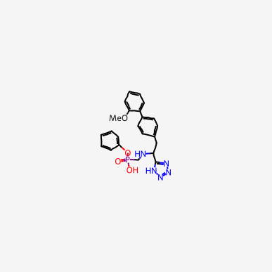 COc1ccccc1-c1ccc(CC(NCP(=O)(O)Oc2ccccc2)c2nnn[nH]2)cc1